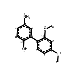 COc1ccc(-c2cc(N)ccc2O)c(OC)c1